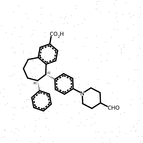 O=CC1CCN(c2ccc([C@H]3c4ccc(C(=O)O)cc4CCC[C@H]3c3ccccc3)cc2)CC1